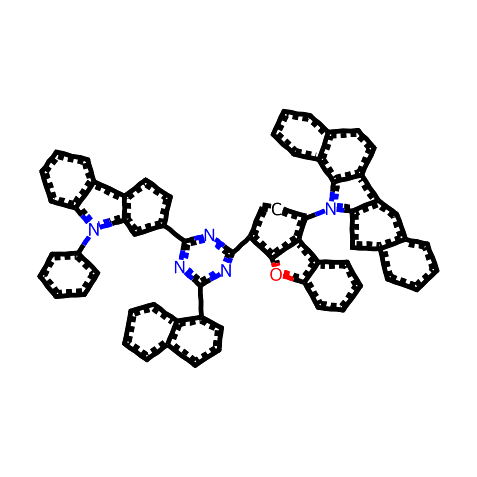 c1ccc(-n2c3ccccc3c3ccc(-c4nc(-c5cccc6ccccc56)nc(-c5ccc(-n6c7cc8ccccc8cc7c7ccc8ccccc8c76)c6c5oc5ccccc56)n4)cc32)cc1